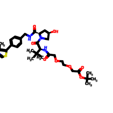 Cc1ncsc1-c1ccc(CNC(=O)[C@@H]2C[C@@H](O)CN2C(=O)[C@@H](NC(=O)COCCOCC(=O)OC(C)(C)C)C(C)(C)C)cc1